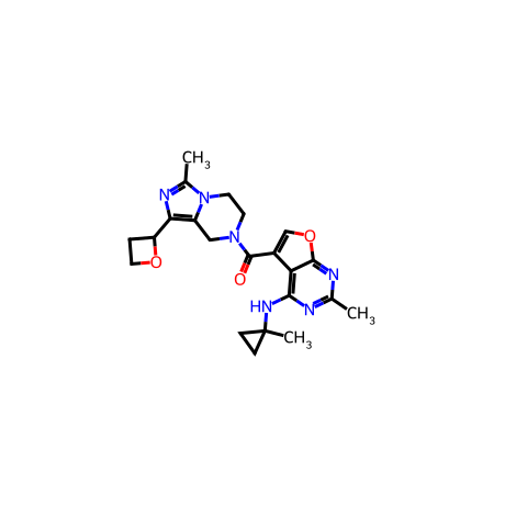 Cc1nc(NC2(C)CC2)c2c(C(=O)N3CCn4c(C)nc(C5CCO5)c4C3)coc2n1